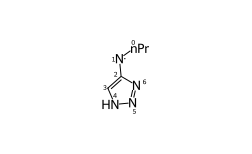 CCC[N]c1c[nH]nn1